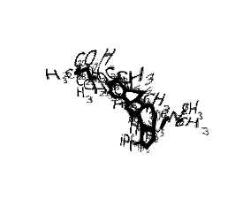 CC(C)[C@@H]1CC[C@]2(CCN(C)C)CC[C@]3(C)[C@H](CC[C@@H]4[C@@]5(C)CC[C@H](OC(=O)CC(C)(C)C(=O)O)C(C)(C)[C@@H]5CC[C@]43C)[C@@H]12